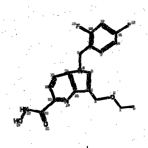 CCOCc1cn(Cc2ccc(F)cc2F)c2ccc(C(=O)NO)nc12